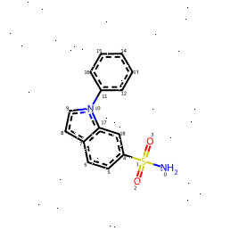 NS(=O)(=O)c1ccc2ccn(-c3ccccc3)c2c1